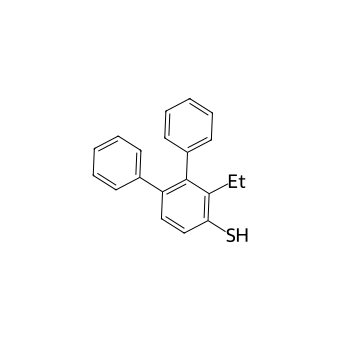 CCc1c(S)ccc(-c2ccccc2)c1-c1ccccc1